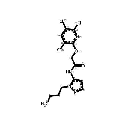 CCCCn1nccc1NC(=O)COc1nc(Cl)c(Cl)cc1Cl